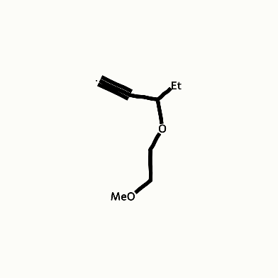 [C]#CC(CC)OCCOC